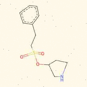 O=S(=O)(CCc1ccccc1)OC1CCNC1